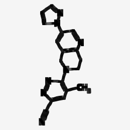 Cc1cc(C#N)nnc1N1CCc2ncc(-n3cccn3)cc2C1